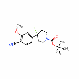 COc1cc(C2(F)CCN(C(=O)OC(C)(C)C)CC2)ccc1C#N